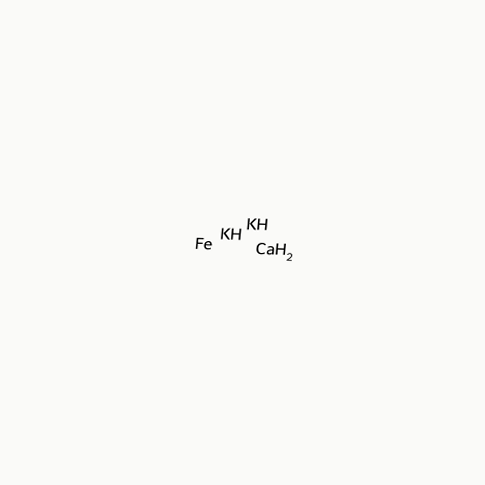 [CaH2].[Fe].[KH].[KH]